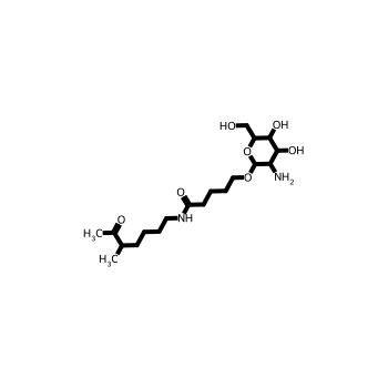 CC(=O)C(C)CCCCNC(=O)CCCCOC1OC(CO)C(O)C(O)C1N